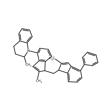 CC1=Cc2c(-c3ccccc3)cccc2C1CC1C(C)=Cc2c1cccc2N1c2ccccc2CCC1C